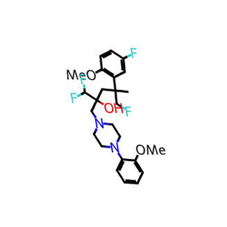 COc1ccccc1N1CCN(CC(O)(CC(C)(CF)c2cc(F)ccc2OC)C(F)F)CC1